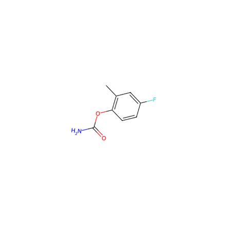 Cc1cc(F)ccc1OC(N)=O